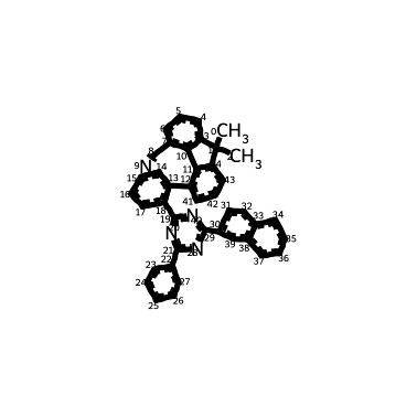 CC1(C)c2cccc(C#N)c2-c2c(-c3ccccc3-c3nc(-c4ccccc4)nc(-c4ccc5ccccc5c4)n3)cccc21